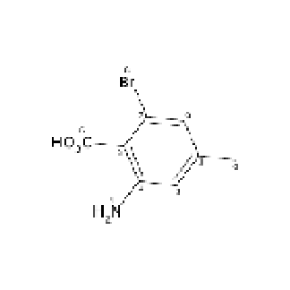 Cc1cc(N)c(C(=O)O)c(Br)c1